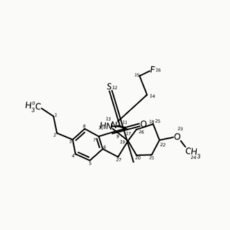 CCCc1ccc2c(c1)C1(NC(=S)N(CCF)C1=O)C1(CCC(OC)CC1)C2